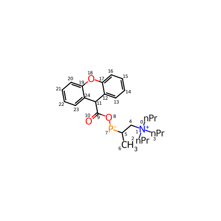 CCC[N+](CCC)(CCC)CC(C)[P-]OC(=O)C1c2ccccc2Oc2ccccc21